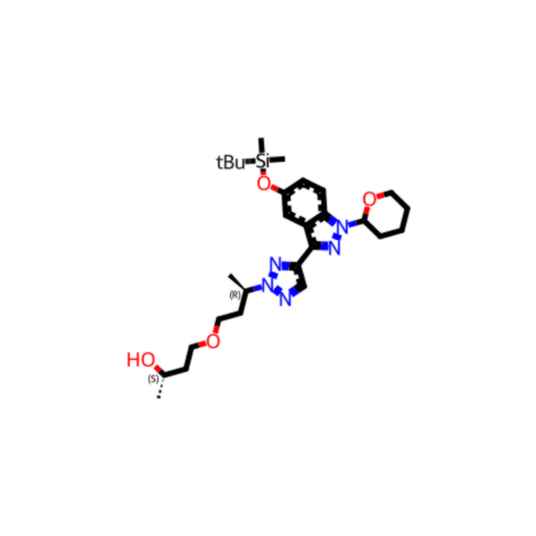 C[C@H](O)CCOCC[C@@H](C)n1ncc(-c2nn(C3CCCCO3)c3ccc(O[Si](C)(C)C(C)(C)C)cc23)n1